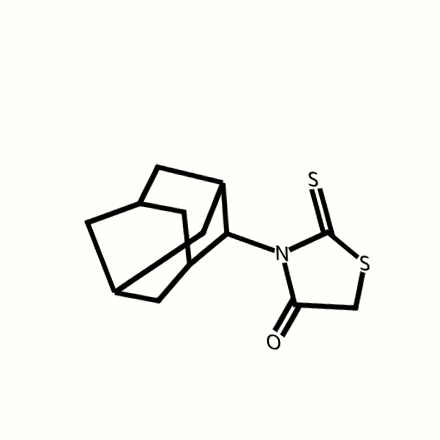 O=C1CSC(=S)N1C1C2CC3CC(C2)CC1C3